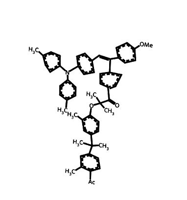 COc1ccc(C(=Cc2ccc(N(c3ccc(C)cc3)c3ccc(C)cc3)cc2)c2ccc(C(=O)C(C)(C)Oc3ccc(C(C)(C)c4ccc(C(C)=O)c(C)c4)cc3C)cc2)cc1